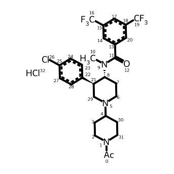 CC(=O)N1CCC(N2CC[C@@H](N(C)C(=O)c3cc(C(F)(F)F)cc(C(F)(F)F)c3)[C@H](c3ccc(Cl)cc3)C2)CC1.Cl